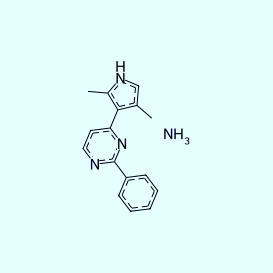 Cc1c[nH]c(C)c1-c1ccnc(-c2ccccc2)n1.N